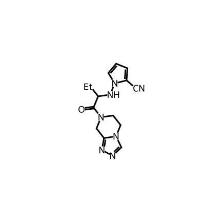 CCC(Nn1cccc1C#N)C(=O)N1CCn2cnnc2C1